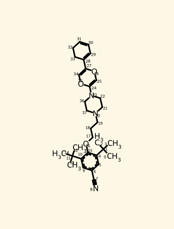 CC(C)(C)c1cc(C#N)cc(C(C)(C)C)c1OCCCN1CCN(C2=COC(C3=CC=CCC3)=CO2)CC1